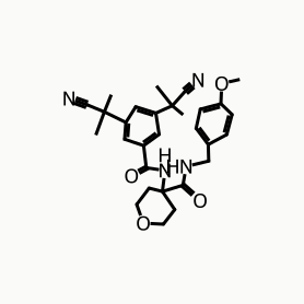 COc1ccc(CNC(=O)C2(NC(=O)c3cc(C(C)(C)C#N)cc(C(C)(C)C#N)c3)CCOCC2)cc1